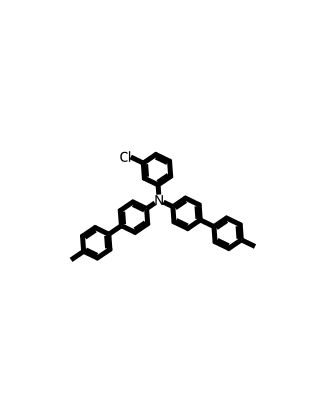 Cc1ccc(-c2ccc(N(c3ccc(-c4ccc(C)cc4)cc3)c3cccc(Cl)c3)cc2)cc1